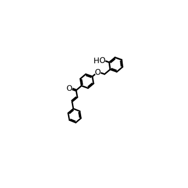 O=C(C=Cc1ccccc1)c1ccc(OCc2ccccc2O)cc1